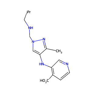 Cc1nn(CNCC(C)C)cc1Nc1cnccc1C(=O)O